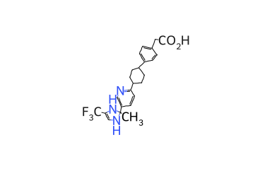 CC1(c2ccc(C3CCC(c4ccc(CC(=O)O)cc4)CC3)nc2)NC=C(C(F)(F)F)N1